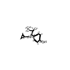 COC(=O)C(NC1CC1)c1ccc(O)cc1